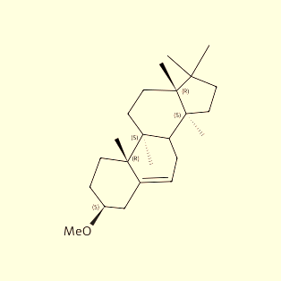 CO[C@H]1CC[C@@]2(C)C(=CCC3[C@]2(C)CC[C@]2(C)C(C)(C)CC[C@@]32C)C1